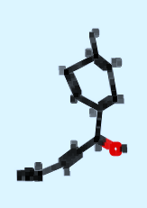 CCCCC#CC(=O)c1ccc(C)cc1